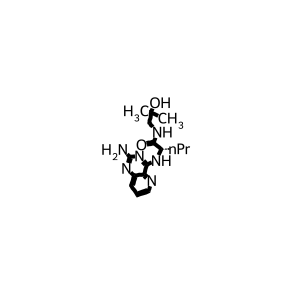 CCC[C@H](Nc1nc(N)nc2cccnc12)C(=O)NCC(C)(C)O